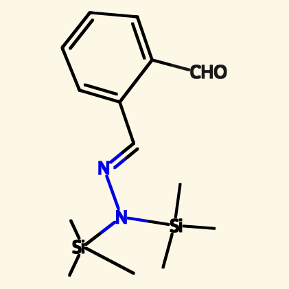 C[Si](C)(C)N(N=Cc1ccccc1C=O)[Si](C)(C)C